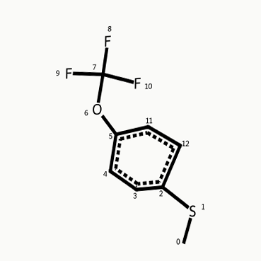 CSc1[c]cc(OC(F)(F)F)cc1